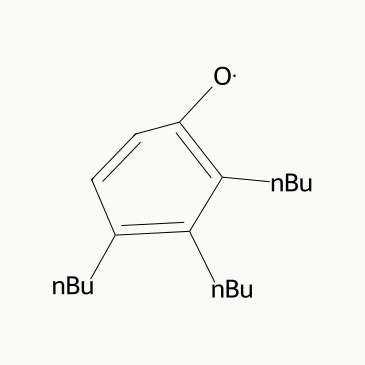 CCCCc1ccc([O])c(CCCC)c1CCCC